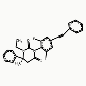 CCN1C(=O)N(c2c(F)cc(C#Cc3ccccc3)cc2F)C(=O)C[C@@]1(C)c1cccnc1